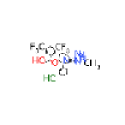 Cl.Cn1nnc([C@@H]2CC3(c4ccccc4)NC2CCC3OC(CO)c2cc(C(F)(F)F)cc(C(F)(F)F)c2)n1